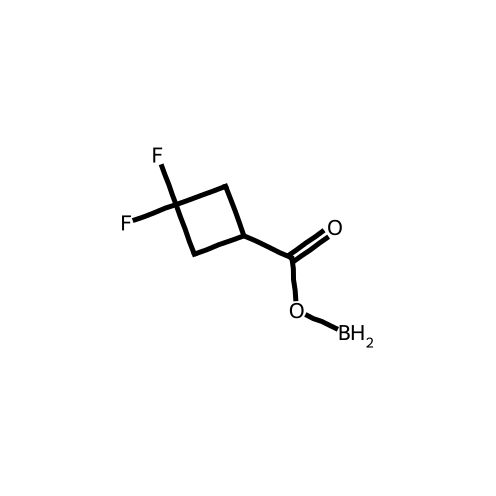 BOC(=O)C1CC(F)(F)C1